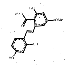 COC(=O)c1c(O)cc(OC)cc1/C=C/c1ccc(O)cc1O